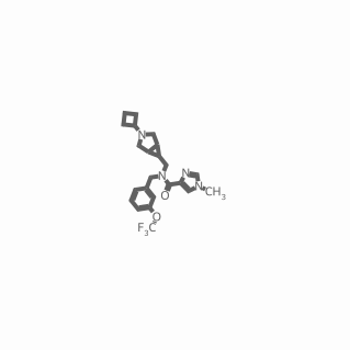 Cn1cnc(C(=O)N(Cc2cccc(OC(F)(F)F)c2)CC2C3CN(C4CCC4)CC23)c1